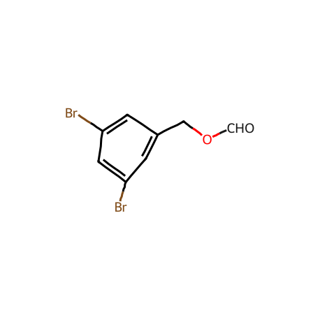 O=COCc1cc(Br)cc(Br)c1